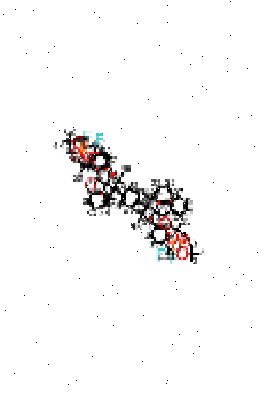 CC(C)(C)OP(=O)(OC(C)(C)C)C(F)(F)c1ccc(CC(C(=O)c2ccccc2)(c2ccccc2)C(c2ccc(C(C(C)(C)C)(C(C)(C)C)C(Cc3ccc(C(F)(F)P(=O)(OC(C)(C)C)OC(C)(C)C)cc3)(C(=O)c3ccccc3)c3ccccc3)cc2)(C(C)(C)C)C(C)(C)C)cc1